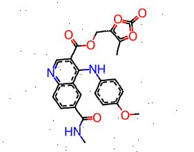 CNC(=O)c1ccc2ncc(C(=O)OCc3oc(=O)oc3C)c(Nc3ccc(OC)cc3)c2c1